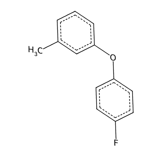 Cc1cccc(Oc2ccc(F)cc2)c1